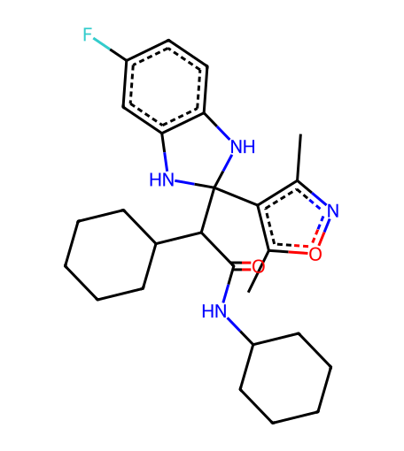 Cc1noc(C)c1C1(C(C(=O)NC2CCCCC2)C2CCCCC2)Nc2ccc(F)cc2N1